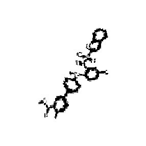 COC(=O)c1cc(-c2ccc(Nc3ccc(Cl)cc3NS(=O)(=O)c3cc4ccccc4o3)cc2)ccc1C